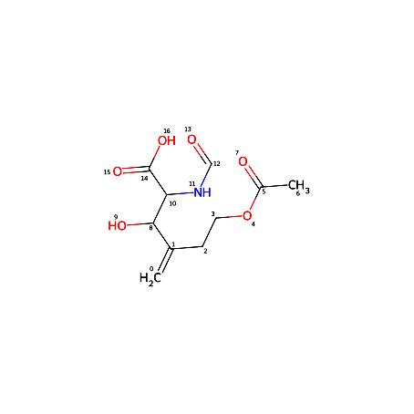 C=C(CCOC(C)=O)C(O)C(NC=O)C(=O)O